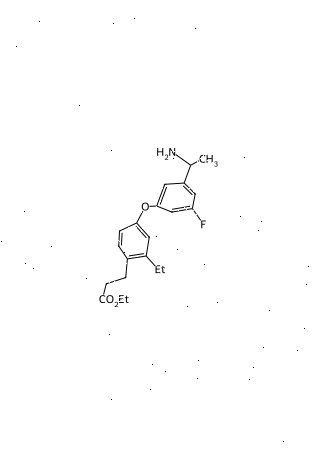 CCOC(=O)CCc1ccc(Oc2cc(F)cc(C(C)N)c2)cc1CC